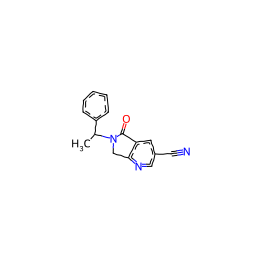 CC(c1ccccc1)N1Cc2ncc(C#N)cc2C1=O